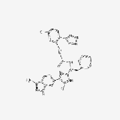 Nc1n[nH]c2cc(-c3nc([C@H](Cc4ccccc4)NC(=O)C#Cc4cc(Cl)ccc4-n4cnnn4)[nH]c3Cl)ccc12